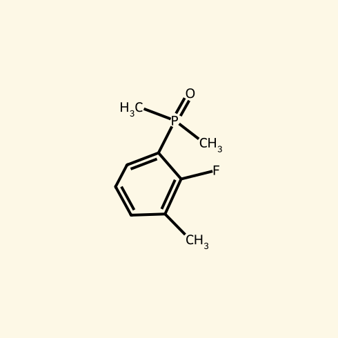 Cc1cccc(P(C)(C)=O)c1F